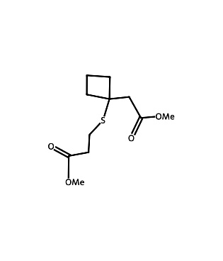 COC(=O)CCSC1(CC(=O)OC)CCC1